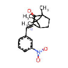 CC12CCC(/C(=C\c3cccc([N+](=O)[O-])c3)C1=O)C2(C)C